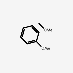 COC.COc1ccccc1